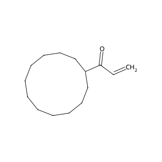 C=CC(=O)C1CCCCCCCCCCC1